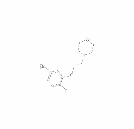 Fc1ccc(Br)cc1OCCN1CCOCC1